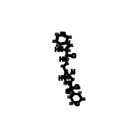 O=C(NCCC1[C@H]2CN(S(=O)(=O)C3CCOCC3)C[C@@H]12)c1cc2cnccc2[nH]1